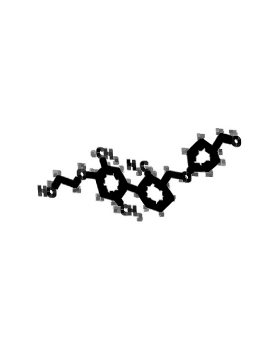 Cc1cc(-c2cccc(COc3ccc(C=O)cc3)c2C)c(C)cc1OCCO